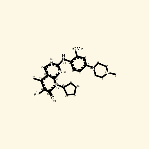 COc1cc(N2CCN(C)CC2)ccc1Nc1ncc2c(C)c(C(C)=O)c(=O)n(C3CCCC3)c2n1